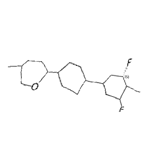 CC1CCC(C2CCC(C3CC(F)C(C)[C@@H](F)C3)CC2)OC1